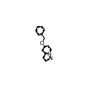 c1ccc(COc2ccn3nccc3c2)cc1